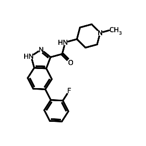 CN1CCC(NC(=O)c2n[nH]c3ccc(-c4ccccc4F)cc23)CC1